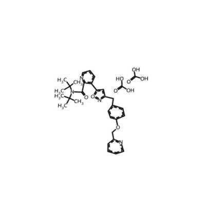 CC(C)(C)N(C(=O)c1ncccc1-c1cc(Cc2ccc(OCc3ccccn3)cc2)no1)C(C)(C)C.O=C(O)O.O=C(O)O